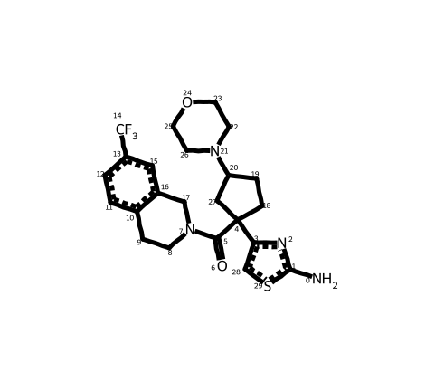 Nc1nc(C2(C(=O)N3CCc4ccc(C(F)(F)F)cc4C3)CCC(N3CCOCC3)C2)cs1